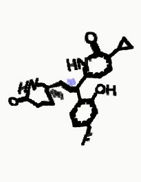 O=C1CC[C@H](/C=C(/c2ccc(C3CC3)c(=O)[nH]2)c2ccc(F)cc2O)N1